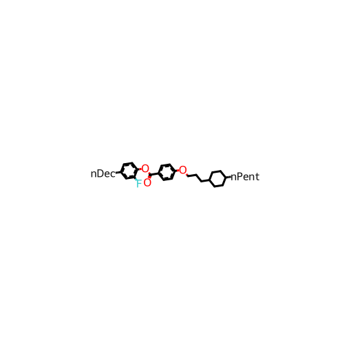 CCCCCCCCCCc1ccc(OC(=O)c2ccc(OCCCC3CCC(CCCCC)CC3)cc2)c(F)c1